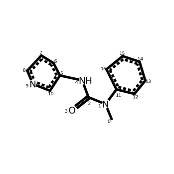 CN(C(=O)Nc1cccnc1)c1ccccc1